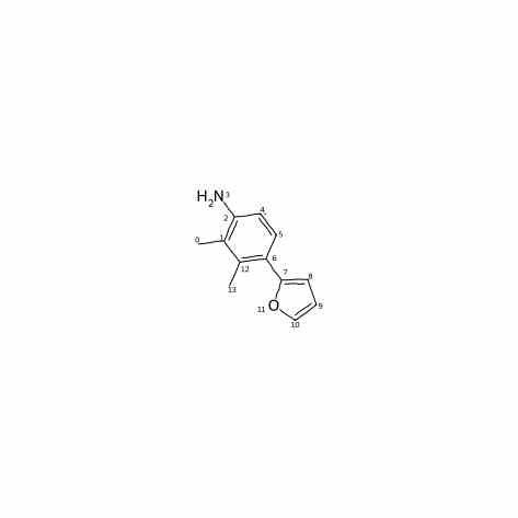 Cc1c(N)[c]cc(-c2ccco2)c1C